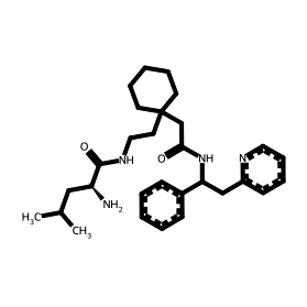 CC(C)C[C@H](N)C(=O)NCCC1(CC(=O)NC(Cc2ccccn2)c2ccccc2)CCCCC1